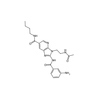 CCCCNC(=O)c1cnc2c(c1)nc(NC(=O)c1cccc(N)c1)n2CCNC(C)=O